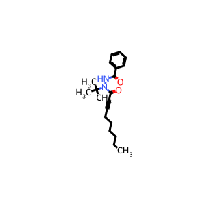 CCCCCCC#CC(=O)N(NC(=O)c1ccccc1)C(C)(C)C